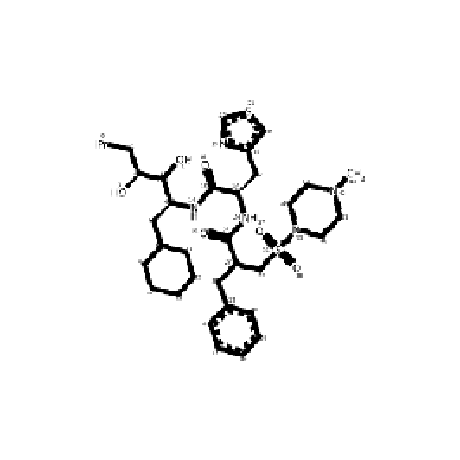 CC(C)C[C@H](O)C(O)[C@H](CC1CCCCC1)NC(=O)[C@@H](Cc1cscn1)NC(=O)C(Cc1ccccc1)CS(=O)(=O)N1CCN(C)CC1